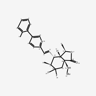 Cc1ccccc1-c1ccc(/C=C/[C@@H]2[C@@H]3[C@@H](C)OC(=O)[C@]3(NC(C)(C)C)CC(F)(F)[C@H]2C)nc1